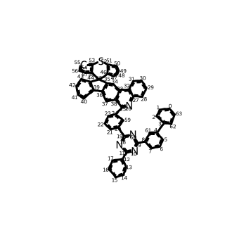 c1ccc(-c2cccc(-c3nc(-c4ccccc4)nc(-c4cccc(-c5nc6ccccc6c6cc7c(cc56)-c5ccccc5C75c6ccccc6Sc6ccccc65)c4)n3)c2)cc1